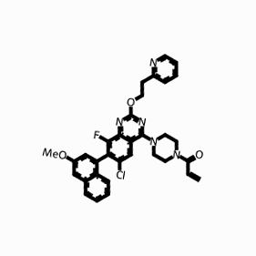 C=CC(=O)N1CCN(c2nc(OCCc3ccccn3)nc3c(F)c(-c4cc(OC)cc5ccccc45)c(Cl)cc23)CC1